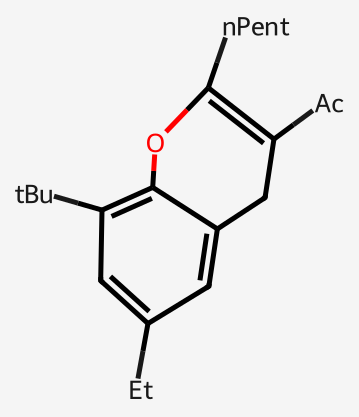 CCCCCC1=C(C(C)=O)Cc2cc(CC)cc(C(C)(C)C)c2O1